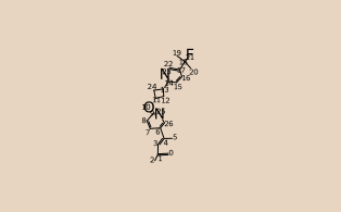 C=C(C)/C=C(\C)c1ccc(O[C@H]2C[C@H](c3ccc(C(C)(C)F)cn3)C2)nc1